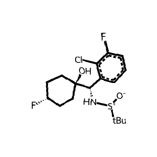 CC(C)(C)[S+]([O-])N[C@@H](c1cccc(F)c1Cl)[C@]1(O)CC[C@H](F)CC1